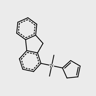 [CH3][Zr]([CH3])([C]1=CC=CC1)[c]1cccc2c1Cc1ccccc1-2